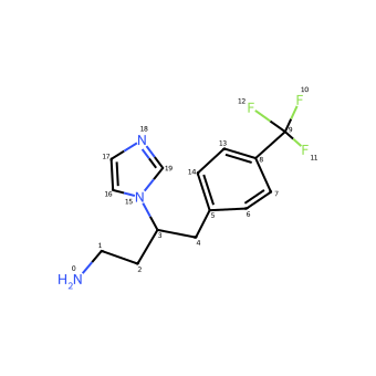 NCCC(Cc1ccc(C(F)(F)F)cc1)n1ccnc1